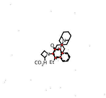 CCC1CC2CC(C1)CC(N1C3CCCC1CC(n1c(=O)c(N4CCC4C(=O)O)nc4ccccc41)C3)C2